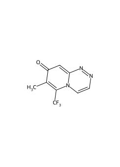 Cc1c(C(F)(F)F)n2ccnnc2cc1=O